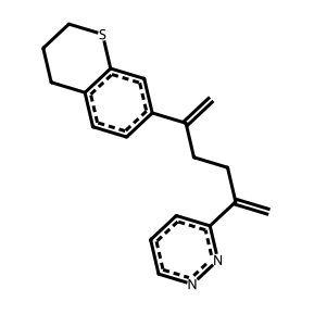 C=C(CCC(=C)c1cccnn1)c1ccc2c(c1)SCCC2